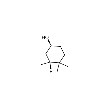 CC[C@@]1(C)C[C@@H](O)CCC1(C)C